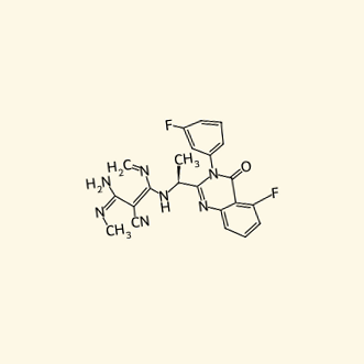 C=N/C(N[C@@H](C)c1nc2cccc(F)c2c(=O)n1-c1cccc(F)c1)=C(C#N)\C(N)=N/C